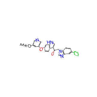 COc1cncc(Oc2ccc3c(C(=O)Cn4cnc5cc(Cl)ccc54)c[nH]c3c2)c1